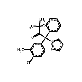 Cc1cc(C(C(=O)C(C)(C)C)(c2ccccc2)n2cncn2)ccc1Cl